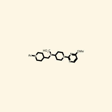 COc1ccnc(N2CCC(N(CC3CCN(C(C)=O)CC3)C(=O)O)CC2)n1